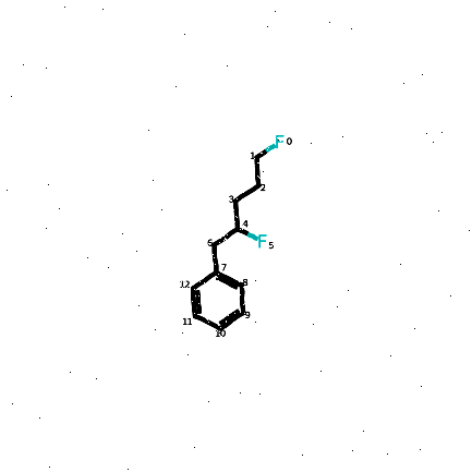 FCCCC(F)Cc1ccccc1